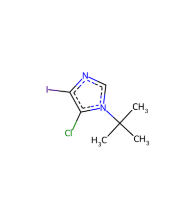 CC(C)(C)n1cnc(I)c1Cl